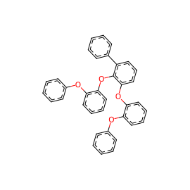 c1ccc(Oc2ccccc2Oc2cccc(-c3ccccc3)c2Oc2ccccc2Oc2ccccc2)cc1